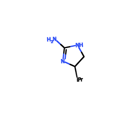 CC(C)C1CNC(N)=N1